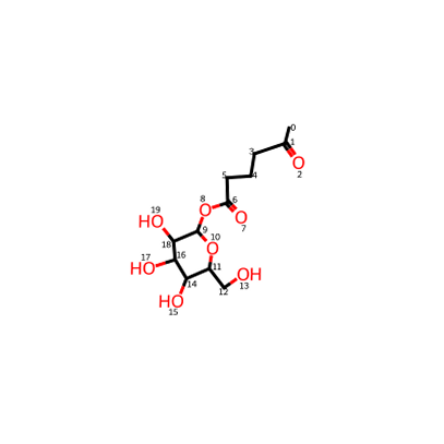 CC(=O)CCCC(=O)OC1OC(CO)C(O)C(O)C1O